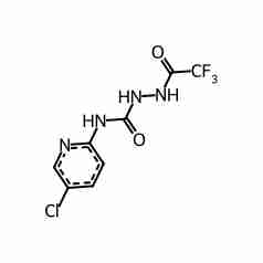 O=C(NNC(=O)C(F)(F)F)Nc1ccc(Cl)cn1